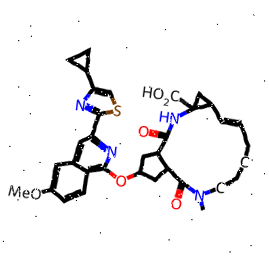 COc1ccc2c(OC3CC4C(=O)NC5(C(=O)O)CC5/C=C/CCCCN(C)C(=O)C4C3)nc(-c3nc(C4CC4)cs3)cc2c1